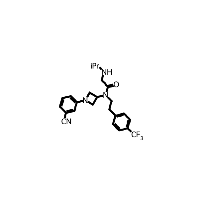 CC(C)NCC(=O)N(CCc1ccc(C(F)(F)F)cc1)C1CN(c2cccc(C#N)c2)C1